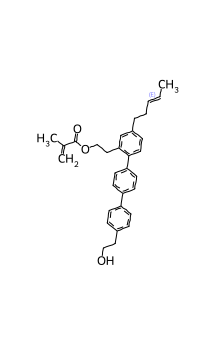 C=C(C)C(=O)OCCc1cc(CC/C=C/C)ccc1-c1ccc(-c2ccc(CCO)cc2)cc1